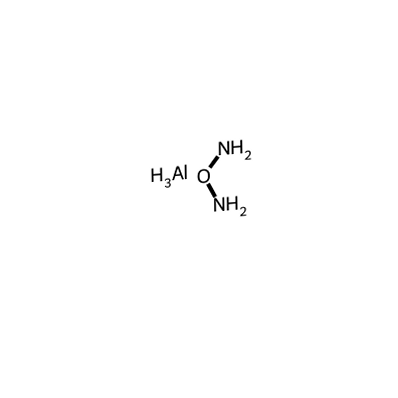 NON.[AlH3]